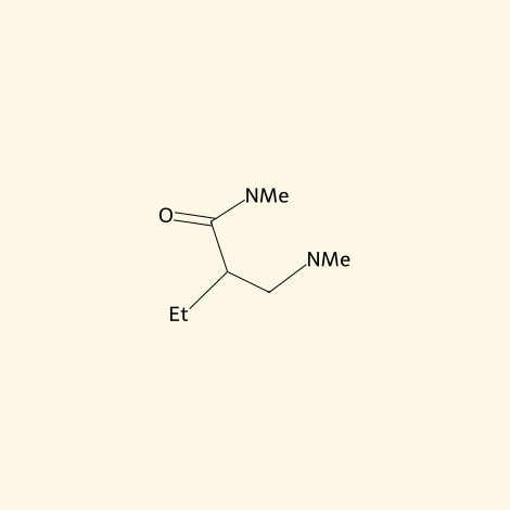 CCC(CNC)C(=O)NC